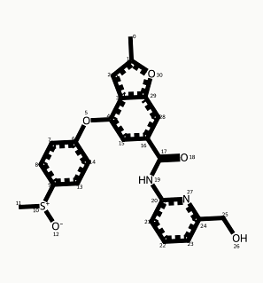 Cc1cc2c(Oc3ccc([S+](C)[O-])cc3)cc(C(=O)Nc3cccc(CO)n3)cc2o1